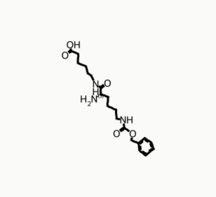 N[C@@H](CCCCNC(=O)OCc1ccccc1)C(=O)NCCCCCC(=O)O